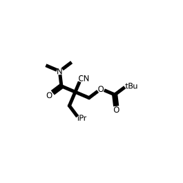 CC(C)CC(C#N)(COC(=O)C(C)(C)C)C(=O)N(C)C